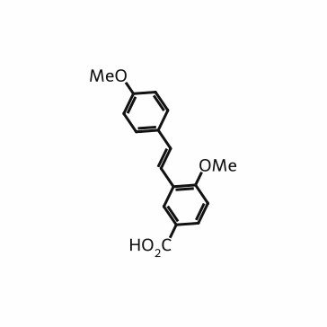 COc1ccc(/C=C/c2cc(C(=O)O)ccc2OC)cc1